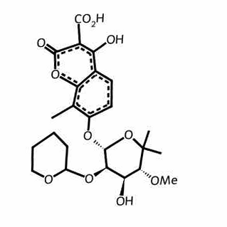 CO[C@@H]1[C@@H](O)[C@@H](OC2CCCCO2)[C@H](Oc2ccc3c(O)c(C(=O)O)c(=O)oc3c2C)OC1(C)C